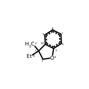 CCC1(C)COc2ccccc21